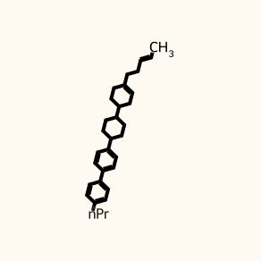 CC=CCCC1=CCC(C2CCC(c3ccc(-c4ccc(CCC)cc4)cc3)CC2)CC1